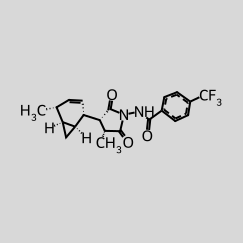 C[C@@H]1C=C[C@H]([C@@H]2C(=O)N(NC(=O)c3ccc(C(F)(F)F)cc3)C(=O)[C@@H]2C)[C@H]2C[C@H]21